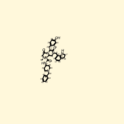 CN1CC(=O)N2C(CN(Cc3cccc4c3NCC4)C(=O)[C@@H]2Cc2ccc(O)cc2)N1C(=O)NC1CCN(Cc2ccccc2)CC1